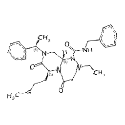 CCN1CC(=O)N2[C@@H](CCSC)C(=O)N([C@H](C)c3ccccc3)C[C@@H]2N1C(=O)NCc1ccccc1